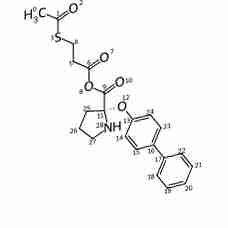 CC(=O)SCCC(=O)OC(=O)[C@]1(Oc2ccc(-c3ccccc3)cc2)CCCN1